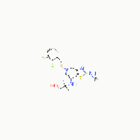 CC(C)Nc1nc2c(s1)C(NC(C)(C)CO)=CN(SCc1cccc(F)c1F)C2